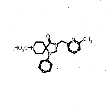 Cc1cccc(CN2CN(c3ccccc3)C3(CCN(C(=O)O)CC3)C2=O)n1